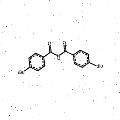 CC(C)(C)c1ccc(C(=O)NC(=O)c2ccc(C(C)(C)C)cc2)cc1